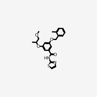 COCC(C)Oc1cc(OCc2ccccc2C)cc(C(=O)Nc2nccs2)c1